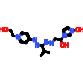 CC(C)C(N=NCC(O)[n+]1ccn(O)c1)=NN=c1ccn(CCO)cc1